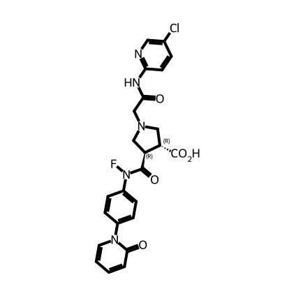 O=C(CN1C[C@H](C(=O)O)[C@@H](C(=O)N(F)c2ccc(-n3ccccc3=O)cc2)C1)Nc1ccc(Cl)cn1